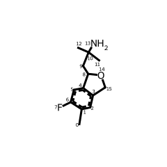 Cc1cc2c(cc1F)C(CC(C)(C)N)OC2